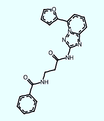 O=C(CCNC(=O)c1ccccc1)Nc1nc2cccc(-c3ccco3)n2n1